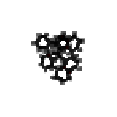 c1ccc(-c2ccccc2N(c2ccccc2)c2ccccc2-c2cccc3oc4c5ccccc5ccc4c23)cc1